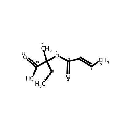 CC=CC(=O)OC(C)(CC)C(=O)O